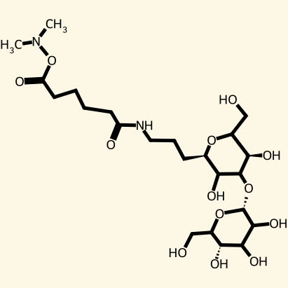 CN(C)OC(=O)CCCCC(=O)NCCC[C@H]1OC(CO)[C@@H](O)C(O[C@H]2OC(CO)[C@@H](O)C(O)C2O)C1O